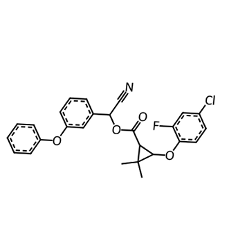 CC1(C)C(Oc2ccc(Cl)cc2F)C1C(=O)OC(C#N)c1cccc(Oc2ccccc2)c1